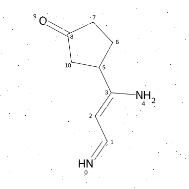 N=C/C=C(\N)C1CCC(=O)C1